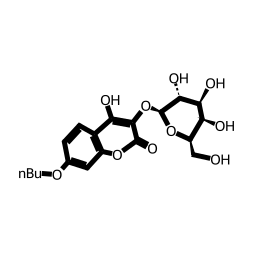 CCCCOc1ccc2c(O)c(O[C@@H]3O[C@H](CO)[C@H](O)[C@H](O)[C@H]3O)c(=O)oc2c1